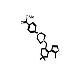 COC(=O)c1ccc(N2CCN(CC3=C(c4ccsc4C)CC(C)(C)CC3)CC2)cc1